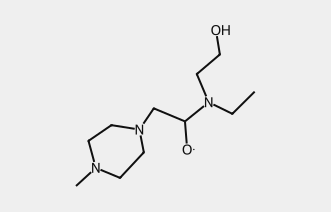 CCN(CCO)C([O])CN1CCN(C)CC1